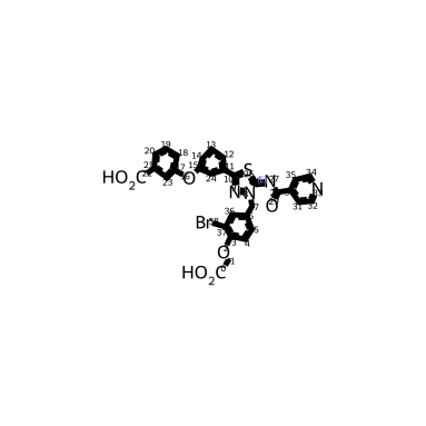 O=C(O)COc1ccc(Cn2nc(-c3cccc(Oc4cccc(C(=O)O)c4)c3)s/c2=N/C(=O)c2ccncc2)cc1Br